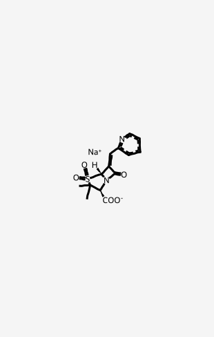 CC1(C)[C@H](C(=O)[O-])N2C(=O)/C(=C\c3ccccn3)[C@H]2S1(=O)=O.[Na+]